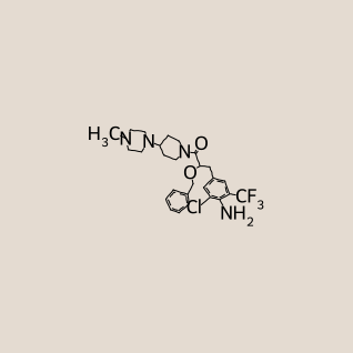 CN1CCN(C2CCN(C(=O)C(Cc3cc(Cl)c(N)c(C(F)(F)F)c3)OCc3ccccc3)CC2)CC1